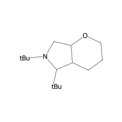 CC(C)(C)C1C2CCCOC2CN1C(C)(C)C